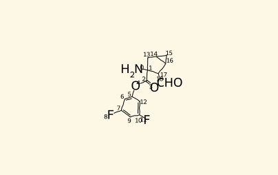 NC1(C(=O)Oc2cc(F)cc(F)c2)CC2CC2C1C=O